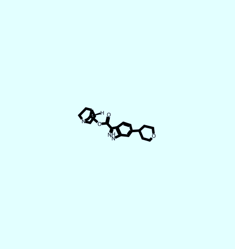 O=C(O[C@@H]1CN2CCC1CC2)c1n[nH]c2cc(C3CCOCC3)ccc12